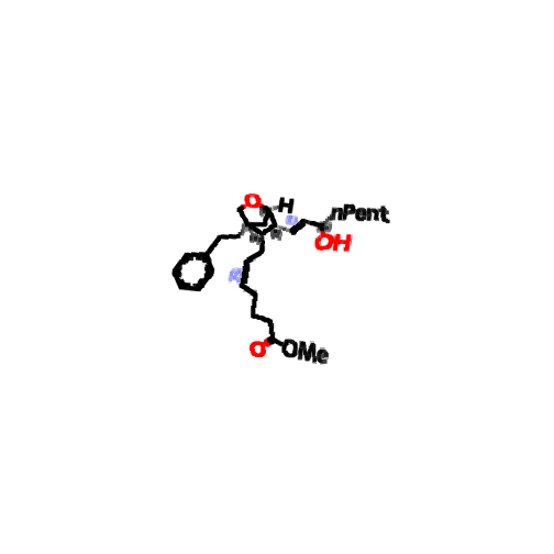 CCCCC[C@H](O)/C=C/[C@@H]1[C@@H](C/C=C\CCCC(=O)OC)[C@@]2(CCc3ccccc3)CO[C@@H]1C2